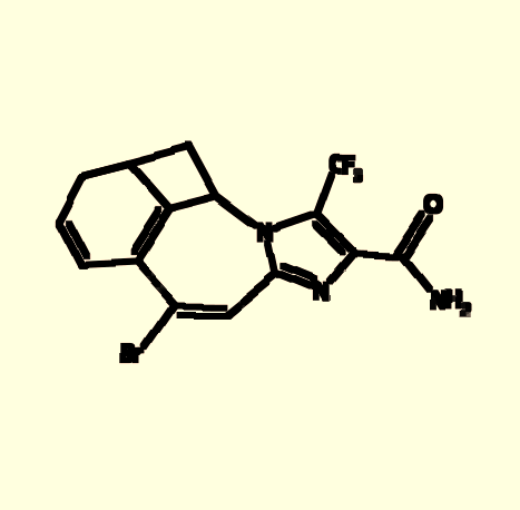 NC(=O)c1nc2n(c1C(F)(F)F)C1CC3C=CC(=C1C3)C(Br)=C2